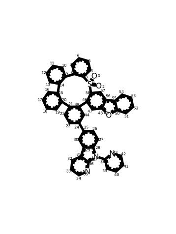 O=S1(=O)c2ccccc2-c2ccccc2-c2ccccc2-c2ccc(-c3ccc4c(c3)c3cccnc3n4-c3ccccn3)cc2-c2cc3oc4ccccc4c3cc21